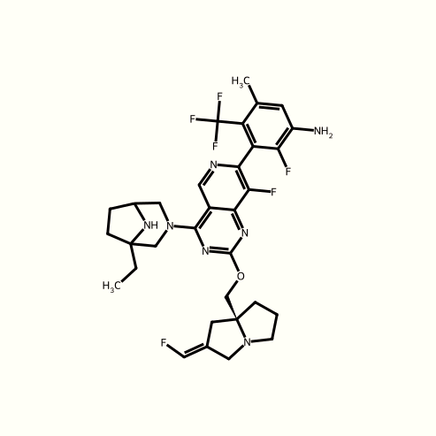 CCC12CCC(CN(c3nc(OC[C@@]45CCCN4C/C(=C/F)C5)nc4c(F)c(-c5c(F)c(N)cc(C)c5C(F)(F)F)ncc34)C1)N2